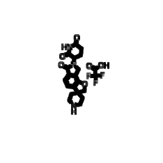 O=C(O)C(F)(F)F.O=C1CCC(N2Cc3c(ccc4c3OCC43CCNCC3)C2=O)C(=O)N1